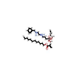 C=C(C)C(=O)OCCCCCCCCCCCC.[CH2]=[Al][CH2]O[Si](CCCNCCNCc1ccccc1)(OC)OC